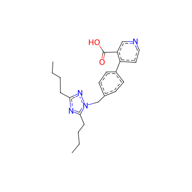 CCCCc1nc(CCCC)n(Cc2ccc(-c3ccncc3C(=O)O)cc2)n1